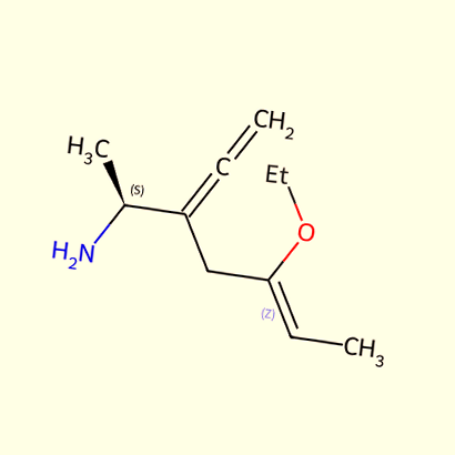 C=C=C(C/C(=C/C)OCC)[C@H](C)N